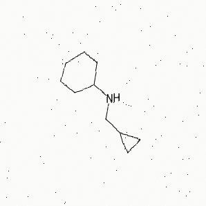 [CH]1CCC(NCC2CC2)CC1